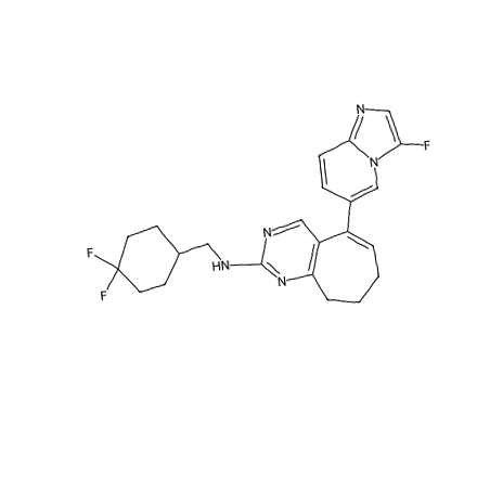 Fc1cnc2ccc(C3=CCCCc4nc(NCC5CCC(F)(F)CC5)ncc43)cn12